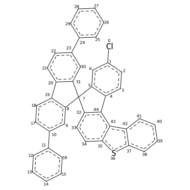 Clc1ccc2c(c1)C1(c3cc(-c4ccccc4)ccc3-c3ccc(-c4ccccc4)cc31)c1ccc3sc4ccccc4c3c1-2